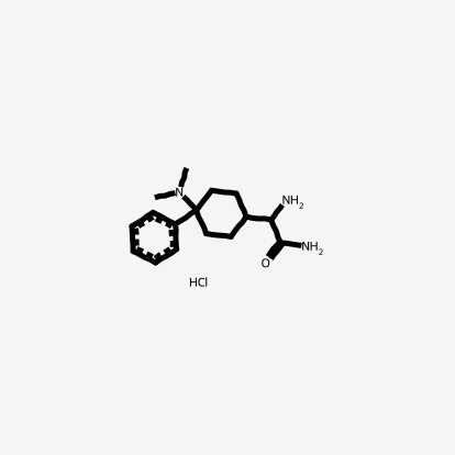 CN(C)C1(c2ccccc2)CCC(C(N)C(N)=O)CC1.Cl